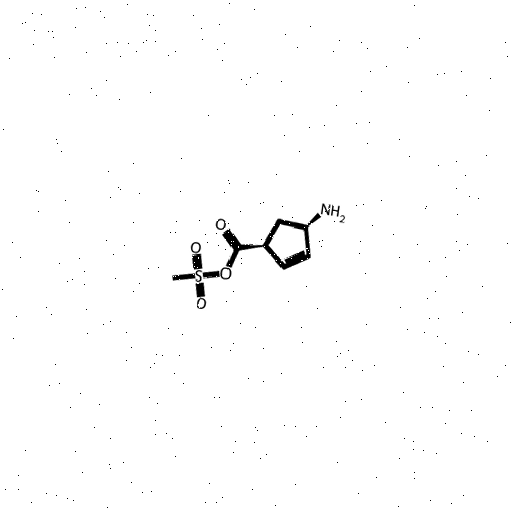 CS(=O)(=O)OC(=O)[C@@H]1C=C[C@H](N)C1